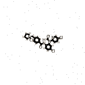 C[N+]1(Cc2ccc(C(=O)Nc3ccc(Cl)cc3N(C=O)c3ccc(Cl)cn3)cc2)CCCC1